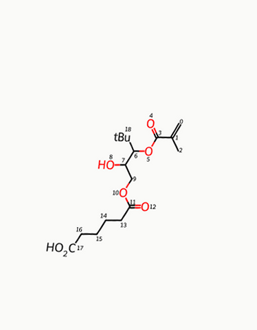 C=C(C)C(=O)OC(C(O)COC(=O)CCCCC(=O)O)C(C)(C)C